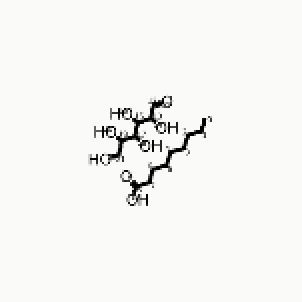 CCCCCCCCC(=O)O.O=CC(O)C(O)C(O)C(O)CO